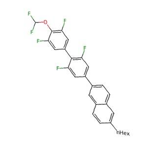 CCCCCCc1ccc2cc(-c3cc(F)c(-c4cc(F)c(OC(F)F)c(F)c4)c(F)c3)ccc2c1